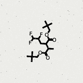 CC(C(=O)OCC(C)(C)C)C(CC(F)C(F)F)C(=O)OCC(C)(C)C